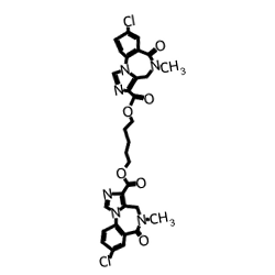 CN1Cc2c(C(=O)OCCCCCOC(=O)c3ncn4c3CN(C)C(=O)c3cc(Cl)ccc3-4)ncn2-c2ccc(Cl)cc2C1=O